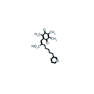 CC1=C(C)C(=O)C(/C=C(\CCCCCc2cccnc2)C(=O)O)=C(C)C1=O